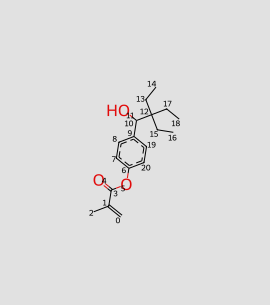 C=C(C)C(=O)Oc1ccc(C(O)C(CC)(CC)CC)cc1